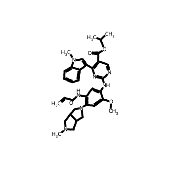 C=CC(=O)Nc1cc(Nc2ncc(C(=O)OC(C)C)c(-c3cn(C)c4ccccc34)n2)c(OC)cc1N1CC2CN(C)CC2C1